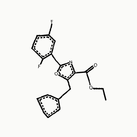 CCOC(=O)c1nc(-c2cc(F)ccc2F)oc1Cc1ccccc1